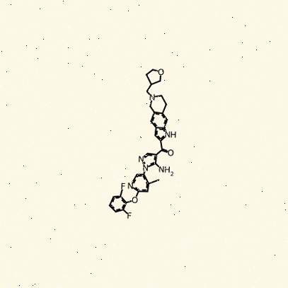 Cc1cc(Oc2c(F)cccc2F)ncc1-n1ncc(C(=O)c2cc3cc4c(cc3[nH]2)CCN(CC2CCOC2)C4)c1N